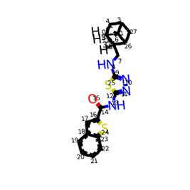 CC1(C)C2CC[C@@H](CNc3nnc(NC(=O)c4cc5ccccc5s4)s3)C1C2